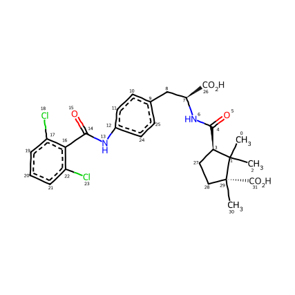 CC1(C)[C@H](C(=O)N[C@@H](Cc2ccc(NC(=O)c3c(Cl)cccc3Cl)cc2)C(=O)O)CC[C@@]1(C)C(=O)O